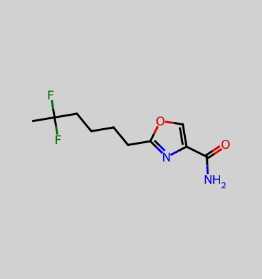 CC(F)(F)CCCCc1nc(C(N)=O)co1